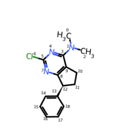 CN(C)c1nc(Cl)nc2c1CC[C@H]2c1ccccc1